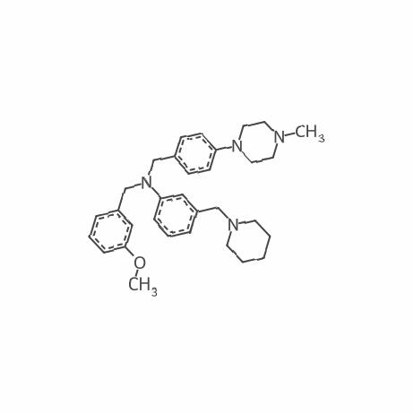 COc1cccc(CN(Cc2ccc(N3CCN(C)CC3)cc2)c2cccc(CN3CCCCC3)c2)c1